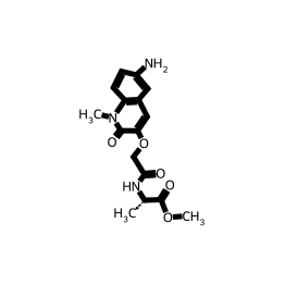 COC(=O)[C@H](C)NC(=O)COc1cc2cc(N)ccc2n(C)c1=O